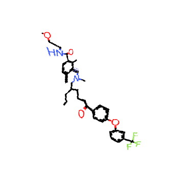 C=c1ccc(C(=O)NCCOC)c(C)/c1=C/N(C)CC(CCC)CCCC(=O)c1ccc(Oc2cccc(C(F)(F)F)c2)cc1